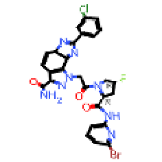 NC(=O)c1nn(CC(=O)N2C[C@H](F)C[C@H]2C(=O)Nc2cccc(Br)n2)c2c1C=CC1N=C(c3cccc(Cl)c3)N=C21